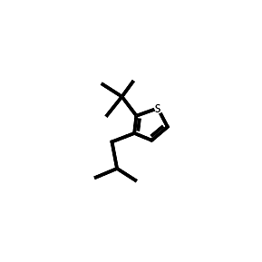 CC(C)Cc1ccsc1C(C)(C)C